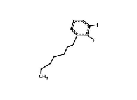 CCCCCCCc1cccc(I)c1F